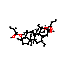 CCC(=O)OC[C@@]12C(=CC(=O)C[C@@H]1C)[C@@H](C)C[C@@H]1[C@@H]2CC[C@@]2(C)[C@H]1CC[C@@]2(C)OC(=O)CC